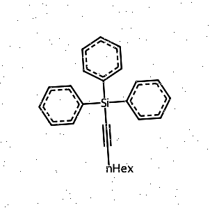 CCCCCCC#C[Si](c1ccccc1)(c1ccccc1)c1ccccc1